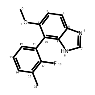 COc1ccc2nc[nH]c2c1-c1cccc(C)c1F